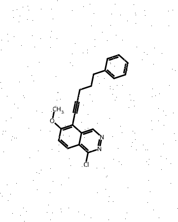 COc1ccc2c(Cl)nncc2c1C#CCCCc1ccccc1